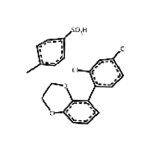 Cc1ccc(S(=O)(=O)O)cc1.Clc1ccc(-c2cccc3c2OCCO3)c(Cl)c1